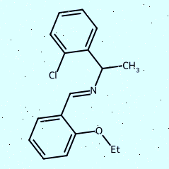 CCOc1ccccc1/C=N/C(C)c1ccccc1Cl